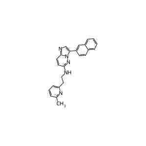 Cc1cccc(CCNc2ccc3ncc(-c4ccc5ccccc5c4)n3n2)n1